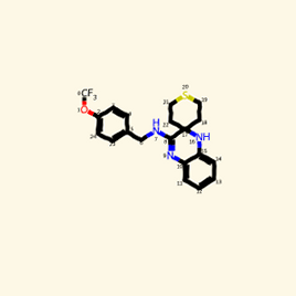 FC(F)(F)Oc1ccc(CNC2=Nc3ccccc3NC23CCSCC3)cc1